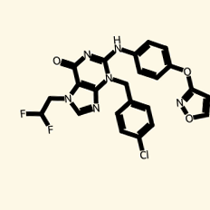 O=c1nc(Nc2ccc(Oc3ccon3)cc2)n(Cc2ccc(Cl)cc2)c2ncn(CC(F)F)c12